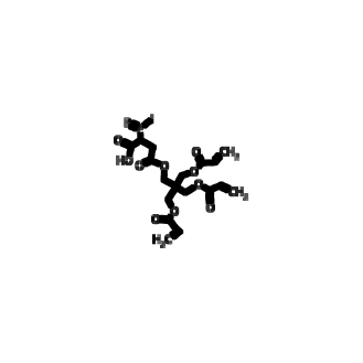 B#P(I)C(CC(=O)OCC(COC(=O)C=C)(COC(=O)C=C)COC(=O)C=C)C(=O)O